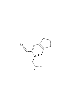 CC(C)Oc1cc2c(cc1C=O)CCC2